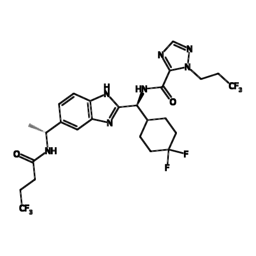 C[C@@H](NC(=O)CCC(F)(F)F)c1ccc2[nH]c([C@@H](NC(=O)c3ncnn3CCC(F)(F)F)C3CCC(F)(F)CC3)nc2c1